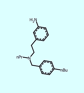 CCCCc1ccc(CN(CCC)CCc2cccc(N)c2)cc1